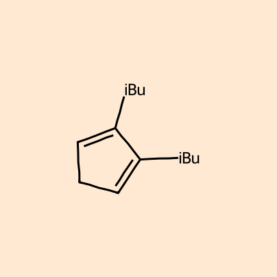 CCC(C)C1=CCC=C1C(C)CC